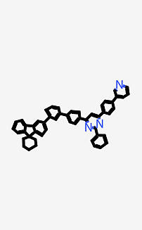 c1ccc(-c2nc(-c3ccc(-c4cccnc4)cc3)cc(-c3ccc(-c4cccc(-c5ccc6c(c5)-c5ccccc5C65CCCCC5)c4)cc3)n2)cc1